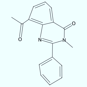 CC(=O)c1cccc2c(=O)n(C)c(-c3ccccc3)nc12